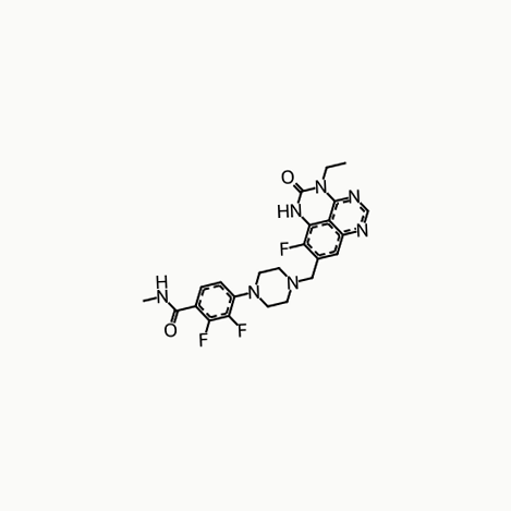 CCN1C(=O)Nc2c(F)c(CN3CCN(c4ccc(C(=O)NC)c(F)c4F)CC3)cc3ncnc1c23